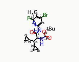 Cc1c(Br)cc(NC(=O)C(NC(=O)OC(C)(C)C)C(C2CC2)C2CC2)nc1F